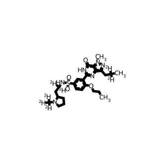 [2H]C([2H])(C)Cc1nn(C)c2c(=O)[nH]c(-c3cc(S(=O)(=O)NC([2H])([2H])CC4CCCN4C([2H])([2H])[2H])ccc3OCCC)nc12